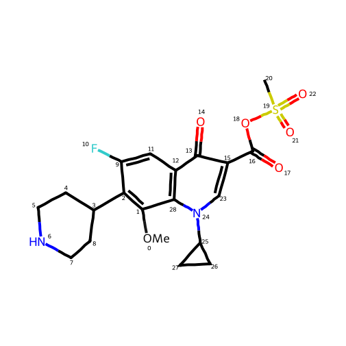 COc1c(C2CCNCC2)c(F)cc2c(=O)c(C(=O)OS(C)(=O)=O)cn(C3CC3)c12